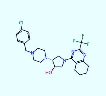 O[C@@H]1CN(c2nc(C(F)(F)F)nc3c2CCCC3)C[C@H]1N1CCN(Cc2ccc(Cl)cc2)CC1